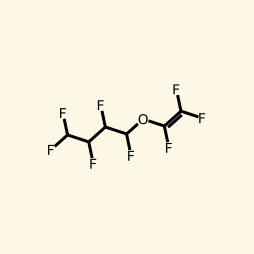 FC(F)=C(F)OC(F)C(F)C(F)C(F)F